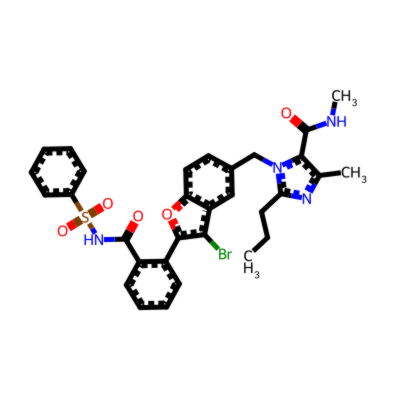 CCCc1nc(C)c(C(=O)NC)n1Cc1ccc2oc(-c3ccccc3C(=O)NS(=O)(=O)c3ccccc3)c(Br)c2c1